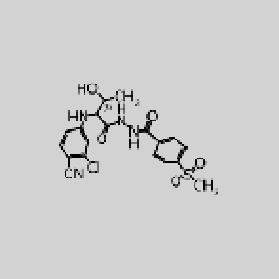 C[C@H](O)C(Nc1ccc(C#N)c(Cl)c1)C(=O)NNC(=O)c1ccc(S(C)(=O)=O)cc1